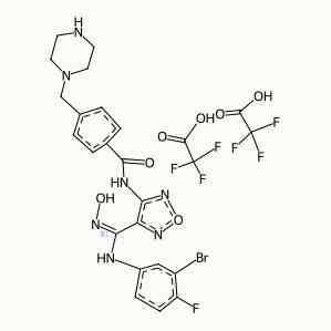 O=C(Nc1nonc1/C(=N\O)Nc1ccc(F)c(Br)c1)c1ccc(CN2CCNCC2)cc1.O=C(O)C(F)(F)F.O=C(O)C(F)(F)F